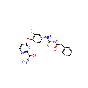 NC(=O)c1n[c]cc(Oc2ccc(NC(=S)NC(=O)Cc3ccccc3)cc2F)n1